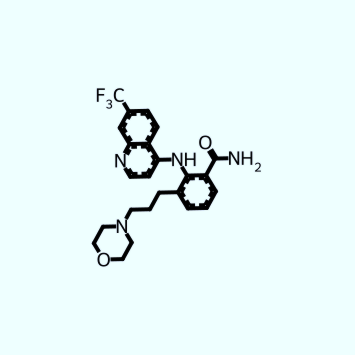 NC(=O)c1cccc(CCCN2CCOCC2)c1Nc1ccnc2cc(C(F)(F)F)ccc12